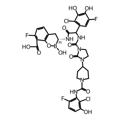 O=C(O)c1c(F)ccc2c1OB(O)[C@@H](NC(=O)C(NC(=O)N1CCN(C3CCN(C(=O)Nc4c(F)ccc(O)c4Cl)CC3)C1=O)c1cc(F)c(O)c(O)c1Cl)C2